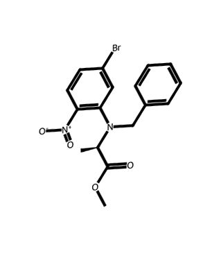 COC(=O)[C@@H](C)N(Cc1ccccc1)c1cc(Br)ccc1[N+](=O)[O-]